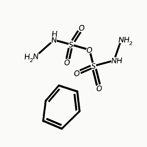 NNS(=O)(=O)OS(=O)(=O)NN.c1ccccc1